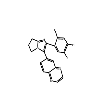 Fc1cc(-c2nc3n(c2-c2ccc4nccnc4c2)CCC3)c(F)cc1Cl